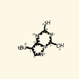 CC(C)(C)c1cnn2c(O)nc(S)nc12